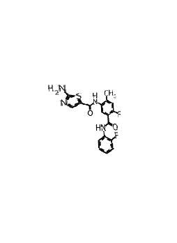 Cc1cc(F)c(C(=O)Nc2ccccc2F)cc1NC(=O)c1cnc(N)s1